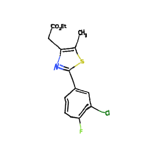 CCOC(=O)Cc1nc(-c2ccc(F)c(Cl)c2)sc1C